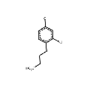 O=C(O)CCCc1ccc(O)cc1Cl